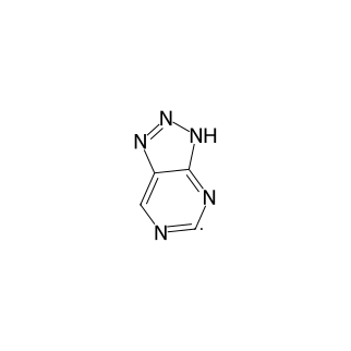 [c]1ncc2nn[nH]c2n1